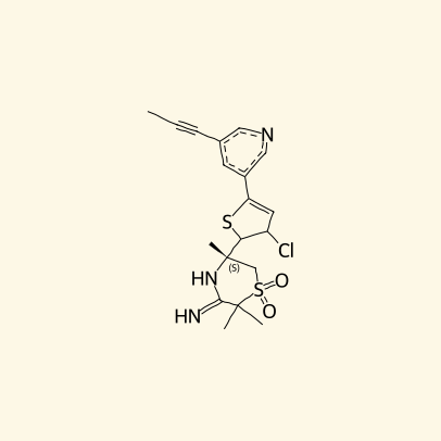 CC#Cc1cncc(C2=CC(Cl)C([C@]3(C)CS(=O)(=O)C(C)(C)C(=N)N3)S2)c1